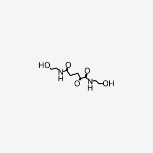 O=C(CCC(=O)C(=O)NCCO)NCCO